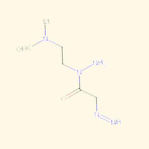 CCN(C=O)CCN(N)C(=O)CN=N